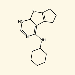 C1=NC(NC2CCCCC2)=C2C3=C(CCC3)SC2N1